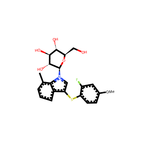 COc1ccc(Sc2cn([C@@H]3O[C@H](CO)[C@@H](O)[C@H](O)[C@H]3O)c3c(C)cccc23)c(F)c1